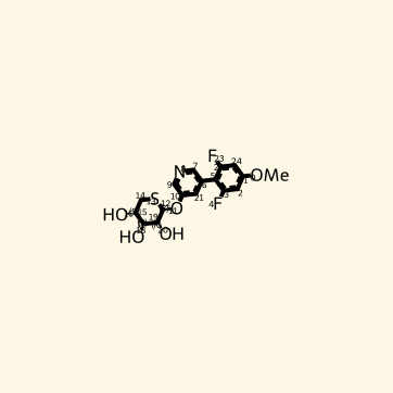 COc1cc(F)c(-c2cncc(O[C@@H]3SC[C@@H](O)[C@H](O)[C@H]3O)c2)c(F)c1